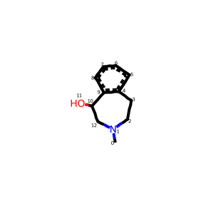 CN1CCc2ccccc2C(O)C1